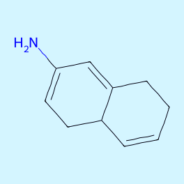 NC1=CCC2C=CCCC2=C1